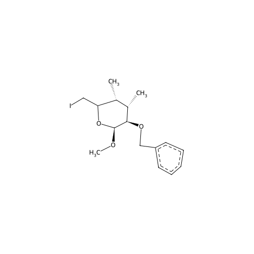 CO[C@H]1OC(CI)[C@H](C)[C@H](C)[C@H]1OCc1ccccc1